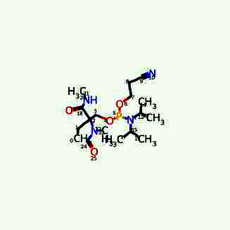 CCC(COP(OCCC#N)N(C(C)C)C(C)C)(C(=O)NC)N(C)C=O